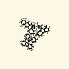 CC1(C)c2ccccc2-c2ccc(N(c3ccc4c(c3)C(C)(C)c3cc5ccccc5cc3-4)c3ccc4c(c3)C3(c5ccccc5-c5ccccc53)c3ccccc3-4)cc21